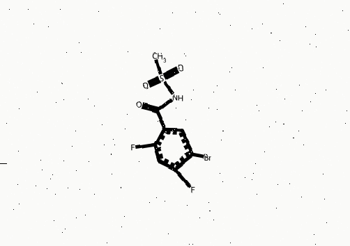 CS(=O)(=O)NC(=O)c1cc(Br)c(F)cc1F